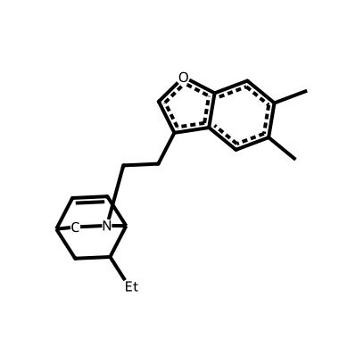 CCC1CC2C=CC1N(CCc1coc3cc(C)c(C)cc13)C2